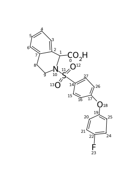 O=C(O)C1c2ccccc2CCN1S(=O)(=O)c1ccc(Oc2ccc(F)cc2)cc1